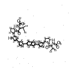 COC(=O)N[C@H](C(=O)N1CCCC1c1ncc(-c2cc3sc(-c4ncc(-c5c[nH]c([C@@H]6CCCN6C(=O)[C@@H](NC(=O)OC)C(C)C)n5)s4)cc3s2)[nH]1)C(C)C